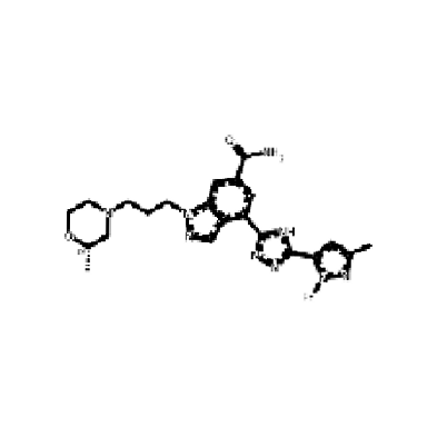 CCn1nc(C)cc1-c1nnc(-c2cc(C(N)=O)cc3c2cnn3CCCN2CCO[C@@H](C)C2)[nH]1